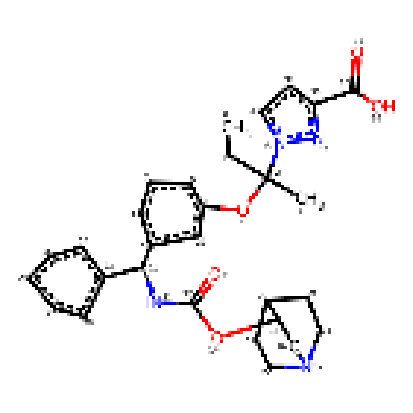 CCC(C)(Oc1cccc([C@@H](NC(=O)OC2CN3CCC2CC3)c2ccccc2)c1)n1ccc(C(=O)O)n1